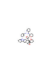 c1ccc(-c2nc(-c3cccc(-n4c5ccccc5c5cc6c(cc54)C4(c5ccccc5Oc5ccccc54)c4ccccc4-6)c3)nc3ccccc23)cc1